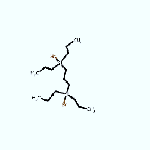 CCC[Si](Br)(CCC)CCC[Si](Br)(CCC)CCC